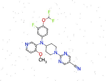 COc1ccncc1N(c1ccc(OC(F)F)c(F)c1)C1CCN(c2ncc(C#N)cn2)CC1